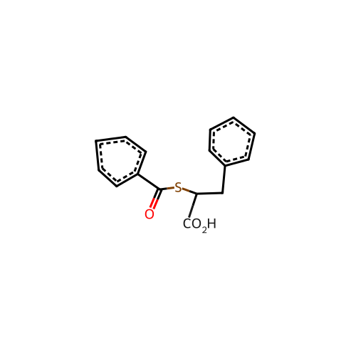 O=C(SC(Cc1ccccc1)C(=O)O)c1ccccc1